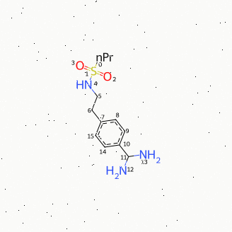 CCCS(=O)(=O)NCCc1ccc(C(N)N)cc1